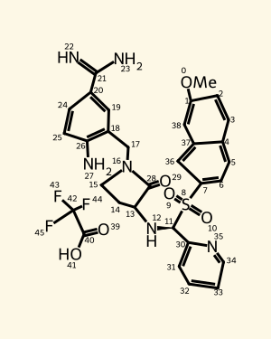 COc1ccc2ccc(S(=O)(=O)[C@H](NC3CCN(Cc4cc(C(=N)N)ccc4N)C3=O)c3ccccn3)cc2c1.O=C(O)C(F)(F)F